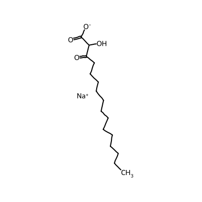 CCCCCCCCCCCCCC(=O)C(O)C(=O)[O-].[Na+]